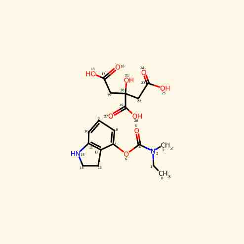 CCN(C)C(=O)Oc1cccc2c1CCN2.O=C(O)CC(O)(CC(=O)O)C(=O)O